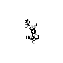 CCOc1ccc(C(O)C2(C(=O)OC)CCCO2)cc1CNC(=O)OC(C)(C)C